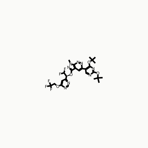 Cn1nc(O[C@@H](c2cc(OCC(F)(F)F)ncn2)C(F)F)c2cc(-c3cnc(OC(C)(C)C)nc3OC(C)(C)C)nnc21